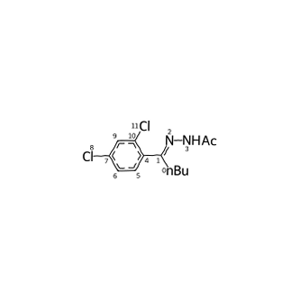 CCCCC(=NNC(C)=O)c1ccc(Cl)cc1Cl